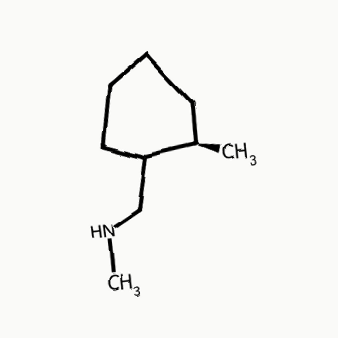 CNCC1CCCC[C@H]1C